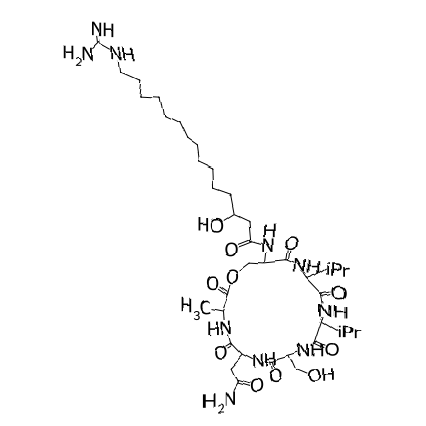 CC1NC(=O)C(CC(N)=O)NC(=O)C(CO)NC(=O)C(C(C)C)NC(=O)C(C(C)C)NC(=O)C(NC(=O)CC(O)CCCCCCCCCCCCNC(=N)N)COC1=O